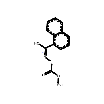 CC(C)(C)OC(=O)O/N=C(/C#N)c1cccc2ccccc12